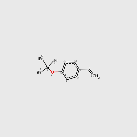 C=Cc1ccc(O[Si](C(C)C)(C(C)C)C(C)C)cc1